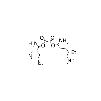 CCC(CCC(N)OC(=O)C(=O)OC(N)CCC(CC)CN(C)C)CN(C)C